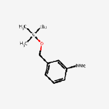 CNc1cccc(CO[Si](C)(C)C(C)(C)C)c1